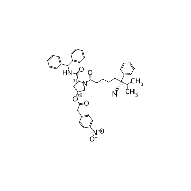 CC(C)[C@@](C#N)(CCCCC(=O)N1C[C@@H](OC(=O)Cc2ccc([N+](=O)[O-])cc2)C[C@H]1C(=O)NC(c1ccccc1)c1ccccc1)c1ccccc1